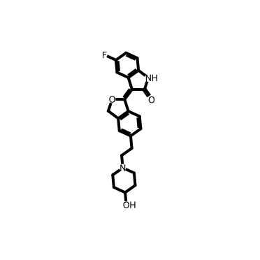 O=C1Nc2ccc(F)cc2C1=C1OCc2cc(CCN3CCC(O)CC3)ccc21